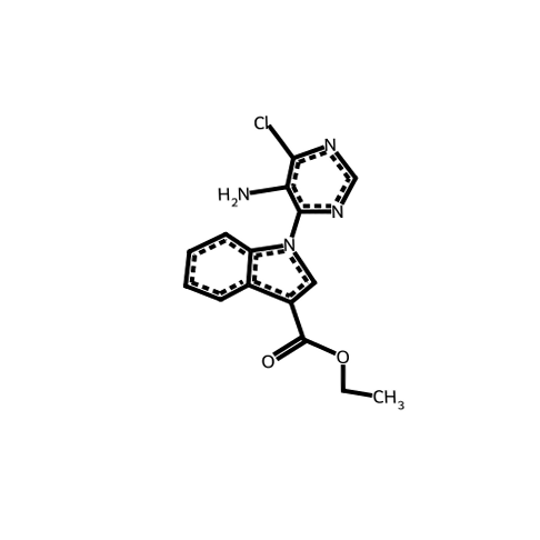 CCOC(=O)c1cn(-c2ncnc(Cl)c2N)c2ccccc12